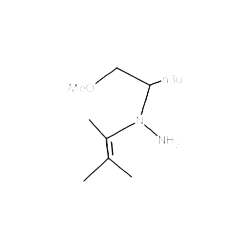 CCCCC(COC)N(N)C(C)=C(C)C